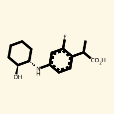 CC(C(=O)O)c1ccc(N[C@H]2CCCC[C@@H]2O)cc1F